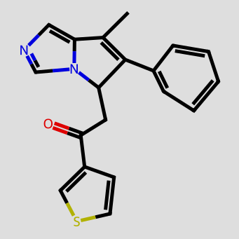 CC1=C(c2ccccc2)C(CC(=O)c2ccsc2)n2cncc21